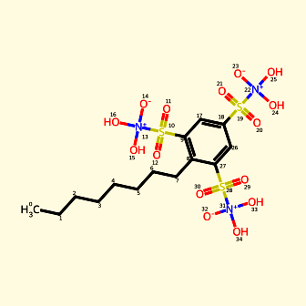 CCCCCCCCc1c(S(=O)(=O)[N+]([O-])(O)O)cc(S(=O)(=O)[N+]([O-])(O)O)cc1S(=O)(=O)[N+]([O-])(O)O